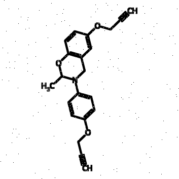 C#CCOc1ccc(N2Cc3cc(OCC#C)ccc3OC2C)cc1